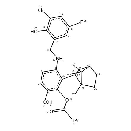 CCCC(=O)Oc1c(C(=O)O)ccc(NCc2cc(F)cc(Cl)c2O)c1C1CC2CCC1(C)C2(C)C